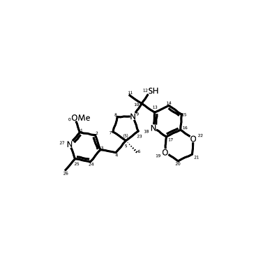 COc1cc(C[C@@]2(C)CCN(C(C)(S)c3ccc4c(n3)OCCO4)C2)cc(C)n1